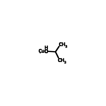 CC(C)O.[Cu]